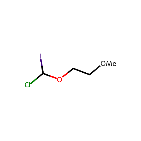 COCCOC(Cl)I